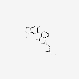 Cc1nn(CC(=O)O)c2cccc(-c3cc4c(cnn4C)cc3F)c12